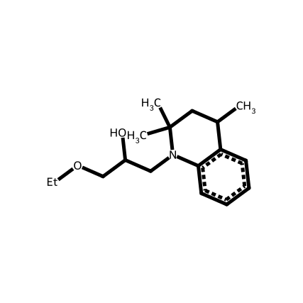 CCOCC(O)CN1c2ccccc2C(C)CC1(C)C